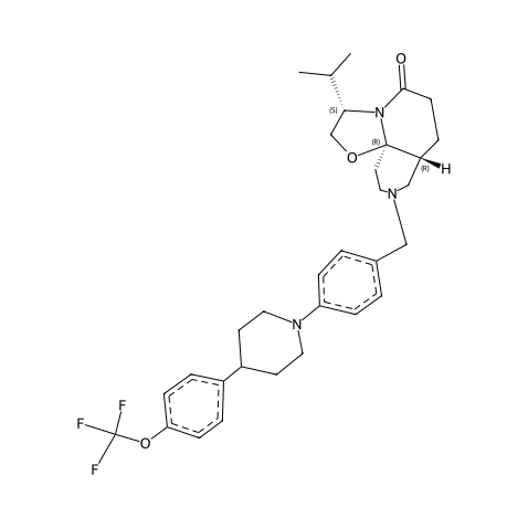 CC(C)[C@H]1CO[C@]23CCN(Cc4ccc(N5CCC(c6ccc(OC(F)(F)F)cc6)CC5)cc4)C[C@H]2CCC(=O)N13